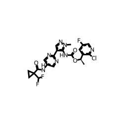 C[C@@H](OC(=O)Nc1c(-c2ncc(NC(=O)C3(C(F)F)CC3)cn2)cnn1C)c1cc(F)cnc1Cl